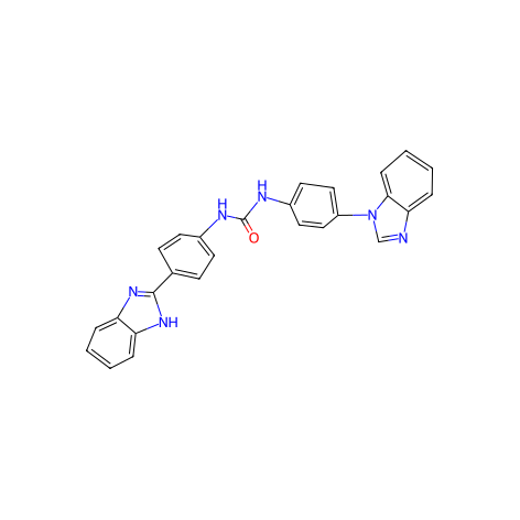 O=C(Nc1ccc(-c2nc3ccccc3[nH]2)cc1)Nc1ccc(-n2cnc3ccccc32)cc1